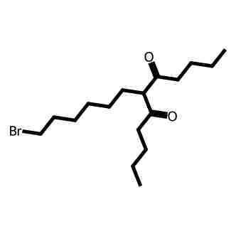 CCCCC(=O)C(CCCCCCBr)C(=O)CCCC